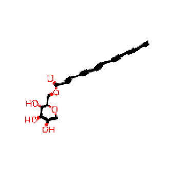 C#CC#CC#CC#CC#CC#CC(=O)OCC1OCC(O)C(O)C1O